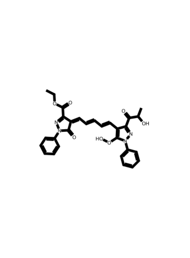 CCOC(=O)C1=NN(c2ccccc2)C(=O)\C1=C/C=C/C=C/c1c(C(=O)C(C)O)nn(-c2ccccc2)c1OO